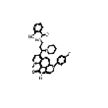 CN1C=CC(C(CCNC(=O)c2ccccc2O)N2CCCCC2)=c2ccc3c4c([nH]c(=O)c-4c21)=CCN3c1ccc(F)cc1